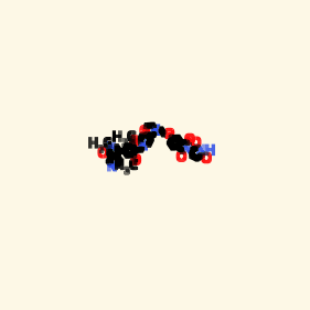 COc1cc(-c2cn(C)c(=O)c3cnccc23)cc(OC)c1CN1CCC2(CC1)CN(CCOc1ccc3c(c1)C(=O)N(C1CCC(=O)NC1=O)C3=O)CCO2